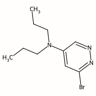 CCCN(CCC)c1cnnc(Br)c1